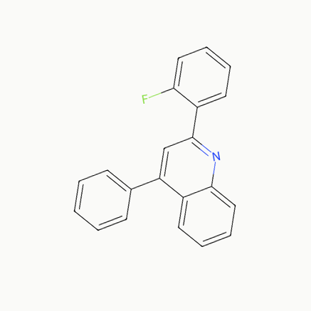 Fc1ccccc1-c1cc(-c2ccccc2)c2ccccc2n1